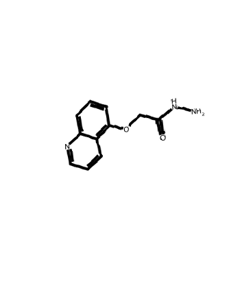 NNC(=O)COc1cccc2ncccc12